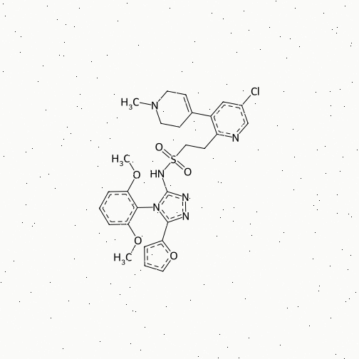 COc1cccc(OC)c1-n1c(NS(=O)(=O)CCc2ncc(Cl)cc2C2=CCN(C)CC2)nnc1-c1ccco1